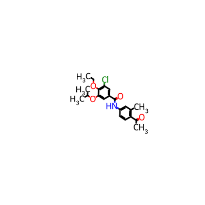 CCOc1c(Cl)cc(C(=O)Nc2ccc(C(C)=O)c(C)c2)cc1OC(C)C